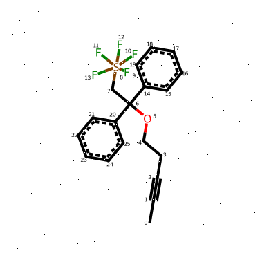 CC#CCCOC(CS(F)(F)(F)(F)F)(c1ccccc1)c1ccccc1